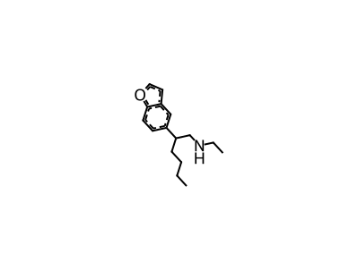 CCCCC(CNCC)c1ccc2occc2c1